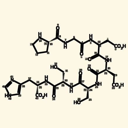 O=C(O)C[C@H](NC(=O)CNC(=O)[C@@H]1CCCN1)C(=O)N[C@@H](CC(=O)O)C(=O)N[C@@H](CO)C(=O)N[C@@H](CO)C(=O)N[C@@H](Cc1c[nH]cn1)C(=O)O